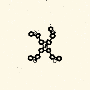 c1ccc2c(c1)oc1ccc(-c3ccc4c(c3)-c3cc(-c5ccc6oc7ccccc7c6c5)ccc3N3B4c4ccc(-c5ccc6sc7ccccc7c6c5)cc4-c4cc(-c5ccc6sc7ccccc7c6c5)ccc43)cc12